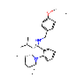 COc1ccc(CN[C@@H](CC(C)C)c2ccccc2N2CCCCC2)cc1